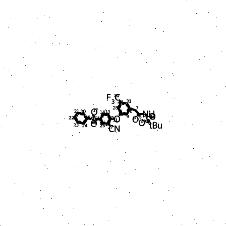 CC(C)(C)S(=O)(=O)NC(=O)Cc1cc(Oc2ccc(S(=O)(=O)c3ccccc3)cc2C#N)cc(C(F)(F)F)c1